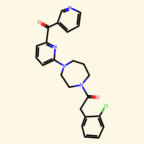 O=C(c1cccnc1)c1cccc(N2CCCN(C(=O)Cc3ccccc3Cl)CC2)n1